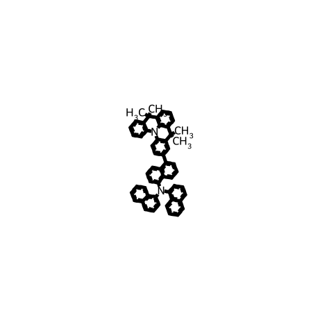 CC1(C)c2ccccc2N2c3ccc(-c4cccc5c(N(c6cccc7ccccc67)c6cccc7ccccc67)cccc45)cc3C(C)(C)c3cccc1c32